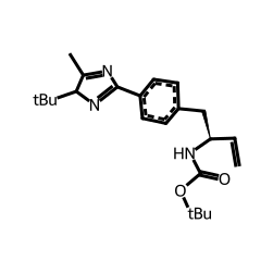 C=C[C@H](Cc1ccc(C2=NC(C(C)(C)C)C(C)=N2)cc1)NC(=O)OC(C)(C)C